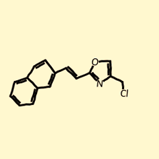 ClCc1coc(C=Cc2ccc3ccccc3c2)n1